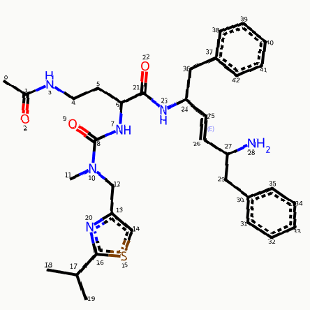 CC(=O)NCCC(NC(=O)N(C)Cc1csc(C(C)C)n1)C(=O)NC(/C=C/C(N)Cc1ccccc1)Cc1ccccc1